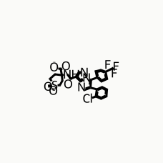 COC(=O)C1(NC(=O)c2cnn3c(-c4ccc(C(F)(F)F)cc4)c(-c4ccccc4Cl)cnc23)CCS(=O)(=O)CC1